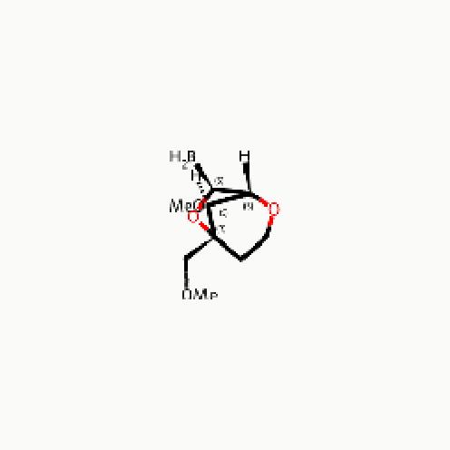 B[C@@H]1O[C@@]2(COC)CCO[C@@H]1[C@@H]2OC